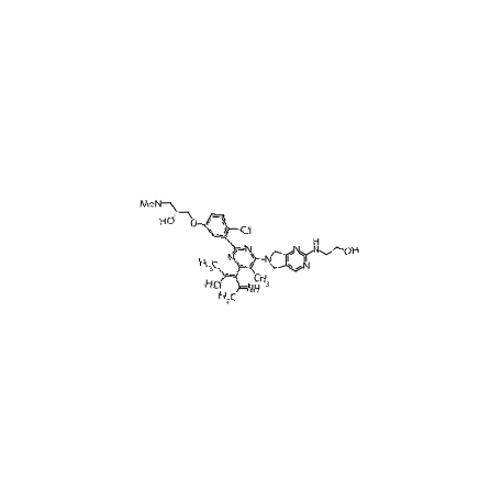 CNC[C@@H](O)COc1ccc(Cl)c(-c2nc(/C(C(C)=N)=C(\C)O)c(C)c(N3Cc4cnc(NCCO)nc4C3)n2)c1